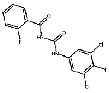 O=C(NC(=O)c1ccccc1F)Nc1cc(Cl)c(I)c(Cl)c1